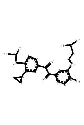 O=C(C(=O)c1ccc(OC(F)F)c(C2CC2)c1)c1ccc(F)c(OCCC(F)F)c1